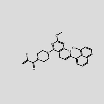 C=C(F)C(=O)N1CCN(c2nc(OC)nc3c2CC=C(c2cccc4cccc(Cl)c24)O3)CC1